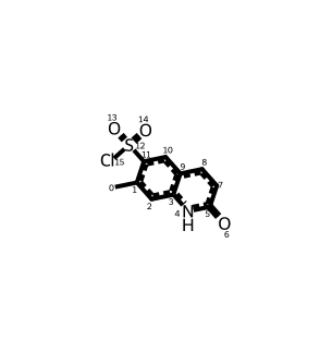 Cc1cc2[nH]c(=O)ccc2cc1S(=O)(=O)Cl